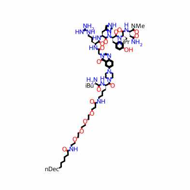 CCCCCCCCCCCCCCCC(=O)NCCOCCOCCOCCOCCC(=O)NCCCC[C@H](NC(=O)[C@@H](N)[C@@H](C)CC)C(=O)N1CCN(c2ccc3ncn(CC(=O)N[C@@H](CCCNC(=N)N)C(=O)N[C@@H](Cc4c[nH]cn4)C(=O)N[C@@H](Cc4ccc(O)cc4)C(=O)N[C@@H](CC(C)C)C(=O)N[C@@H](CC(N)=O)C(=O)NC)c(=O)c3c2)CC1